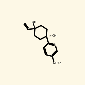 C=C[C@]1(O)CC[C@@](C#N)(c2ccc(NC(C)=O)cn2)CC1